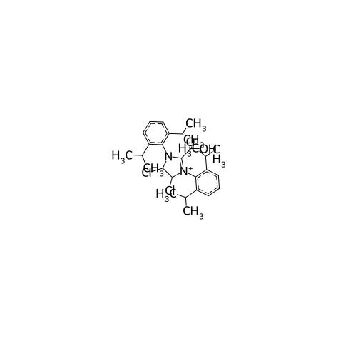 CC(C)c1cccc(C(C)C)c1N1C(C(=O)O)=[N+](c2c(C(C)C)cccc2C(C)C)C(Cl)C1Cl